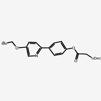 CCCCCCCCCCCC(=O)Oc1ccc(-c2ccc(OCC(C)CC)cn2)cc1